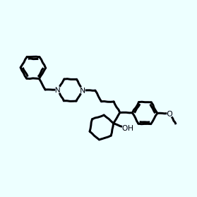 COc1ccc(C(CCCN2CCN(Cc3ccccc3)CC2)C2(O)CCCCC2)cc1